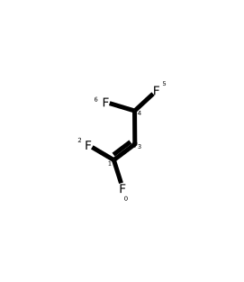 FC(F)=[C]C(F)F